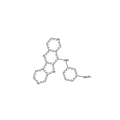 CC(=O)Nc1cccc(Nc2c3cnccc3nc3c2nc2cnccn23)c1